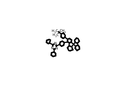 CC(C)(C)c1ccc(-c2ccc3c(c2-c2ccc(-c4nc(-c5ccccc5)nc(-c5ccccc5)n4)cc2)-c2ccccc2C3(c2ccccc2)c2ccccc2)cc1